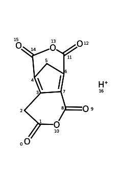 O=C1CC2=C3CC(=C2C(=O)O1)C(=O)OC3=O.[H+]